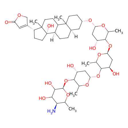 CC1O[C@@H](OC2C(C)O[C@@H](O[C@H]3CCC4(C)C5CCC6(C)[C@@H](C7=CC(=O)OC7)CC[C@]6(O)[C@@H]5CC[C@@H]4C3)C[C@H]2O)C[C@@H](O)C1O[C@H]1C[C@@H](O)C(O[C@H]2OC(C)[C@@H](N)C(O)C2O)C(C)O1